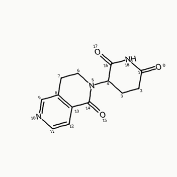 O=C1CCC(N2CCc3cnccc3C2=O)C(=O)N1